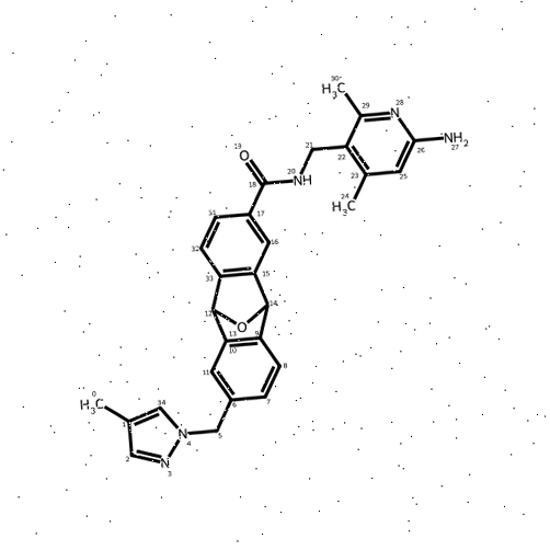 Cc1cnn(Cc2ccc3c(c2)C2OC3c3cc(C(=O)NCc4c(C)cc(N)nc4C)ccc32)c1